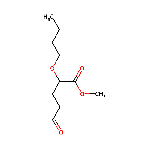 CCCCOC(CCC=O)C(=O)OC